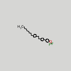 CCCCCCCCCc1ccc(CCc2ccc(-c3ccc(OC(F)F)cc3)cc2)cc1